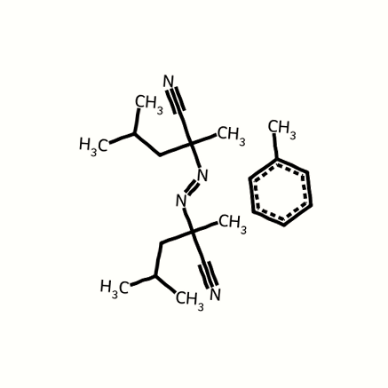 CC(C)CC(C)(C#N)N=NC(C)(C#N)CC(C)C.Cc1ccccc1